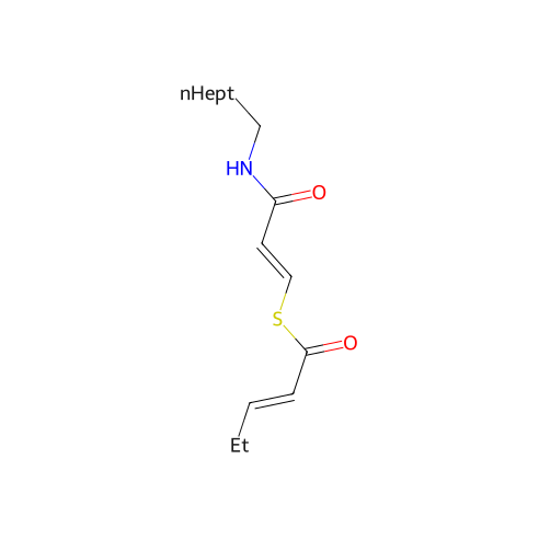 CCC=CC(=O)SC=CC(=O)NCCCCCCCC